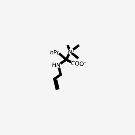 C=CCNC(CCC)(C(=O)[O-])[N+](C)(C)C